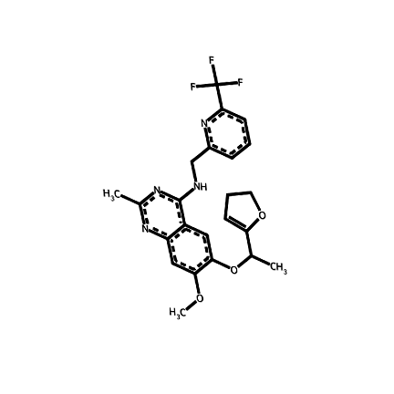 COc1cc2nc(C)nc(NCc3cccc(C(F)(F)F)n3)c2cc1OC(C)C1=CCCO1